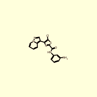 Nc1cccc(NC(=O)c2nc(-c3cnn4ccccc34)c(Cl)s2)c1